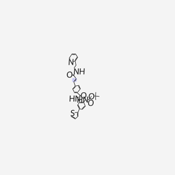 CC(C)(C)OC(=O)Nc1ccc(-c2cccs2)cc1NC(=O)c1ccc(/C=C/C(=O)NCCc2ccccn2)cc1